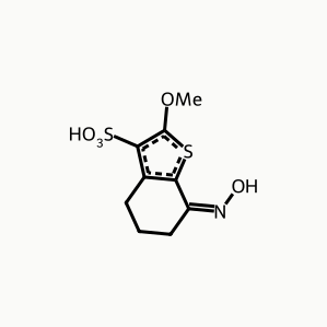 COc1sc2c(c1S(=O)(=O)O)CCC/C2=N/O